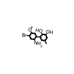 COc1cc(-c2cc(C)cc(O)c2O)c(N)cc1Br